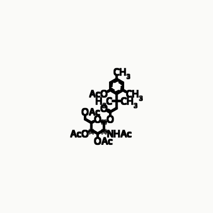 CC(=O)N[C@@H]1C(OC(C)=O)[C@H](OC(C)=O)C(COC(C)=O)O[C@@H]1OC(=O)CC(C)(C)c1c(C)cc(C)cc1OC(C)=O